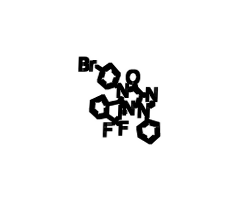 O=c1c2ncn(-c3ccccc3)c2nc(-c2ccccc2C(F)(F)F)n1-c1ccc(Br)cc1